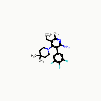 Cc1nc(N)c(-c2cc(F)c(F)c(F)c2)c(N2CCC(C)(C)CC2)c1CC(=O)O